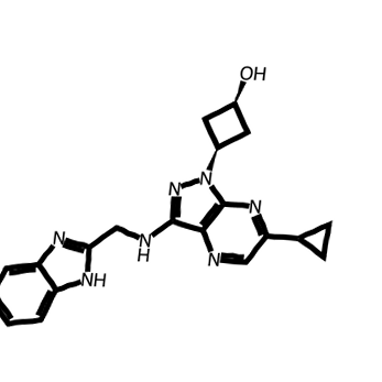 O[C@H]1C[C@@H](n2nc(NCc3nc4ccccc4[nH]3)c3ncc(C4CC4)nc32)C1